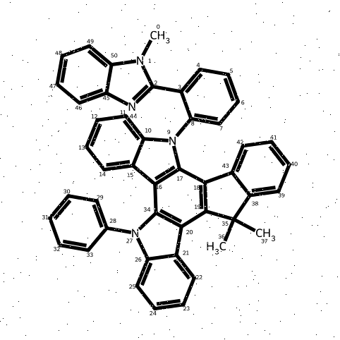 Cn1c(-c2ccccc2-n2c3ccccc3c3c2c2c(c4c5ccccc5n(-c5ccccc5)c43)C(C)(C)c3ccccc3-2)nc2ccccc21